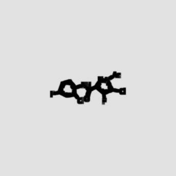 CC(=O)n1nc(C(=O)Nc2ccc(F)cc2Cl)c(F)c1Cl